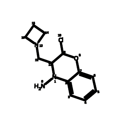 NN1c2ccccc2OC(Cl)C1CN1CCC1